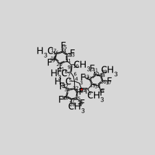 C/C(=C/CC(C)(C/C(C)=C(\C)c1c(F)c(F)c(C)c(F)c1F)c1c(F)c(F)c(C)c(F)c1F)c1c(F)c(F)c(C)c(F)c1F